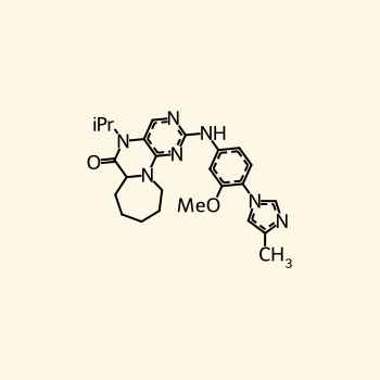 COc1cc(Nc2ncc3c(n2)N2CCCCCC2C(=O)N3C(C)C)ccc1-n1cnc(C)c1